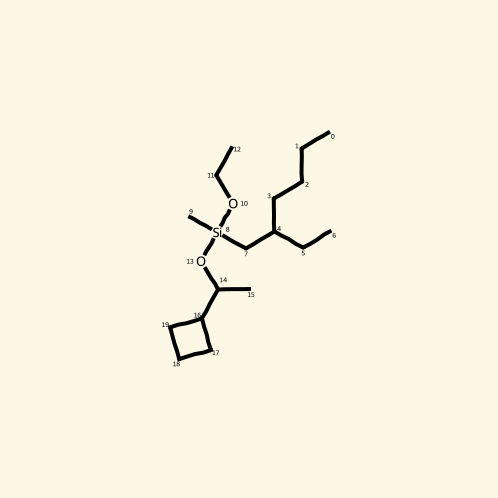 CCCCC(CC)C[Si](C)(OCC)OC(C)C1CCC1